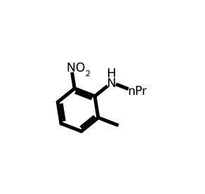 CCCNc1c(C)cccc1[N+](=O)[O-]